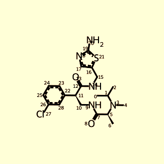 CC(C)N(C)[C@@H](C)C(=O)NC[C@H](C(=O)NCc1cnc(N)s1)c1cccc(Cl)c1